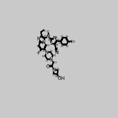 CCc1nc2cc(F)c(N3CCN(CC(=O)N4CC(O)C4)CC3)cn2c1N(C)c1nc(-c2ccc(I)cc2)c(C#N)s1